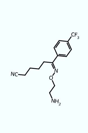 N#CCCCCC(=NOCCN)c1ccc(C(F)(F)F)cc1